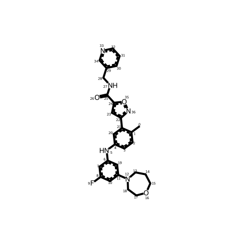 Cc1ccc(Nc2cc(F)cc(N3CCCOCC3)c2)cc1-c1cc(C(=O)NCc2cccnc2)on1